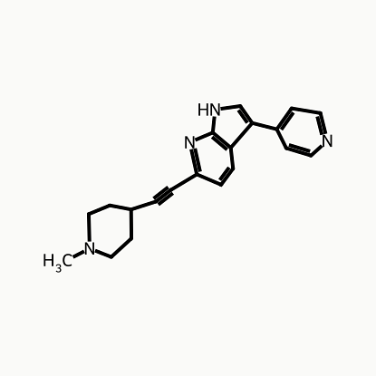 CN1CCC(C#Cc2ccc3c(-c4ccncc4)c[nH]c3n2)CC1